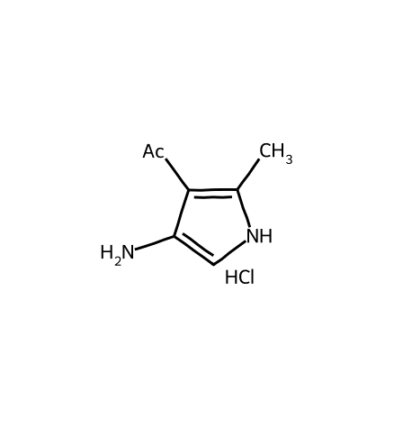 CC(=O)c1c(N)c[nH]c1C.Cl